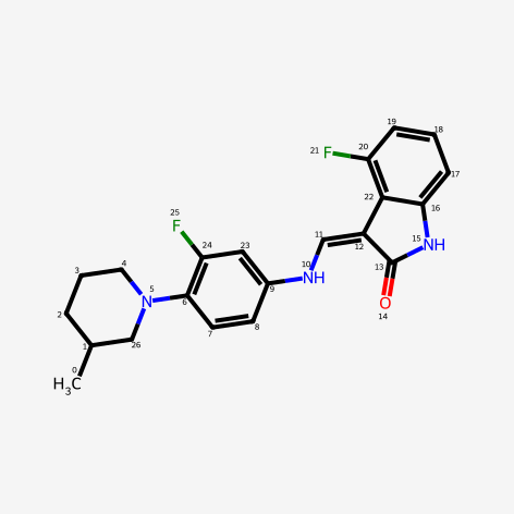 CC1CCCN(c2ccc(NC=C3C(=O)Nc4cccc(F)c43)cc2F)C1